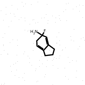 NC1(F)C=C2CCCC2=CC1